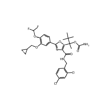 CC(C)(C)C(C)(OC(N)=O)c1oc(-c2ccc(OC(F)F)c(OCC3CC3)c2)nc1C(=O)NCc1ccc(Cl)cc1Cl